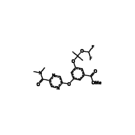 COC(=O)c1cc(Oc2cnc(C(=O)N(C)C)cn2)cc(OC(C)(C)OC(F)F)c1